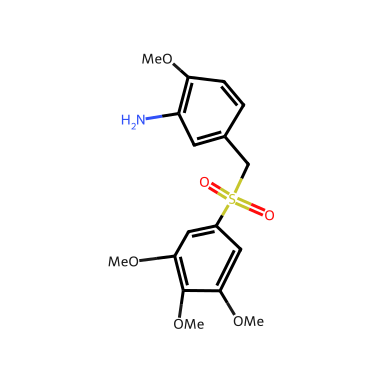 COc1ccc(CS(=O)(=O)c2cc(OC)c(OC)c(OC)c2)cc1N